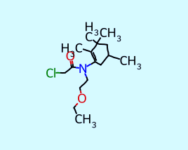 CCOCCN(C(=O)CCl)C1=C(C)C(C)(C)CC(C)C1